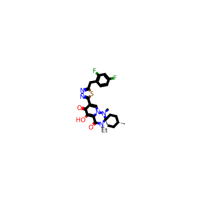 CCN1C(=O)c2c(O)c(=O)c(-c3nnc(Cc4ccc(F)cc4F)s3)cn2N(C)[C@]12CC[C@@H](C)CC2